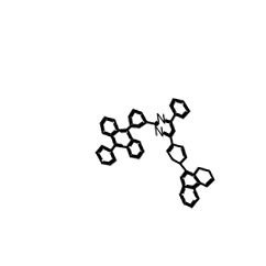 C1=Cc2c(c(C3C=CC(c4cc(-c5ccccc5)nc(-c5cccc(-c6c7ccccc7c(-c7ccccc7)c7ccccc67)c5)n4)=CC3)cc3ccccc23)CC1